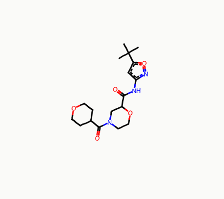 CC(C)(C)c1cc(NC(=O)C2CN(C(=O)C3CCOCC3)CCO2)no1